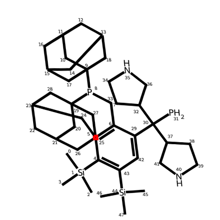 C[Si](C)(C)c1cc(CP(C23CC4CC(CC(C4)C2)C3)C23CC4CC(CC(C4)C2)C3)c(C(P)(C2CCNC2)C2CCNC2)cc1[Si](C)(C)C